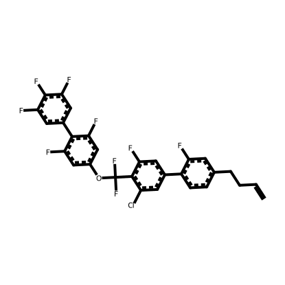 C=CCCc1ccc(-c2cc(F)c(C(F)(F)Oc3cc(F)c(-c4cc(F)c(F)c(F)c4)c(F)c3)c(Cl)c2)c(F)c1